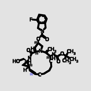 C=C1[C@@H](NC(=O)OC(C)(C)C)CCCCC/C=C\[C@@H]2C[C@@]2(CO)NC(=O)[C@@H]2C[C@@H](OC(=O)N3Cc4cccc(F)c4C3)CN12